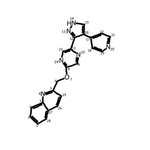 c1ccc2nc(COc3cnc(-c4n[nH]cc4-c4ccncc4)cn3)ccc2c1